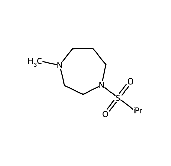 CC(C)S(=O)(=O)N1CCCN(C)CC1